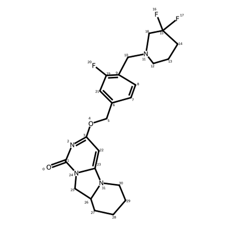 O=c1nc(OCc2ccc(CN3CCCC(F)(F)C3)c(F)c2)cc2n1CC1CCCCN21